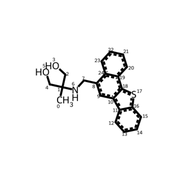 CC(CO)(CO)NCc1cc2c3ccccc3sc2c2ccccc12